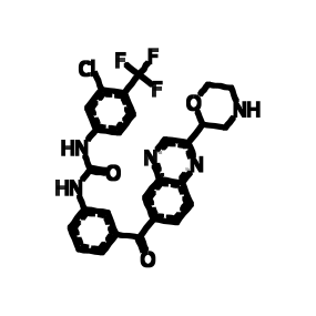 O=C(Nc1cccc(C(=O)c2ccc3nc(C4CNCCO4)cnc3c2)c1)Nc1ccc(C(F)(F)F)c(Cl)c1